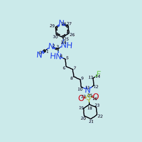 N#C/N=C(\NCCCCCCN(CCF)S(=O)(=O)C1CCCCC1)Nc1ccncc1